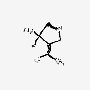 CC(C)=C1CNCC1(C)C(C)C